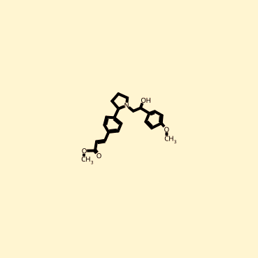 COC(=O)C=Cc1ccc(C2CCCN2CC(O)c2ccc(OC)cc2)cc1